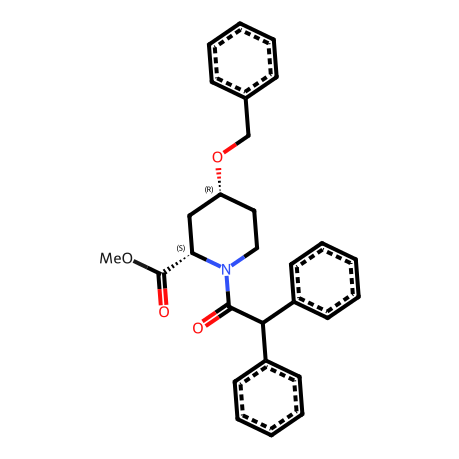 COC(=O)[C@@H]1C[C@H](OCc2ccccc2)CCN1C(=O)C(c1ccccc1)c1ccccc1